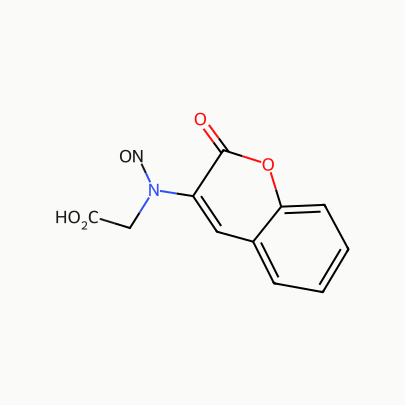 O=NN(CC(=O)O)c1cc2ccccc2oc1=O